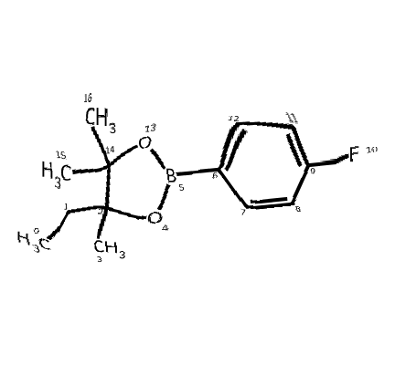 CCC1(C)OB(c2ccc(F)cc2)OC1(C)C